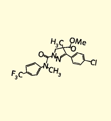 COC(=O)C1(C)CN(C(=O)N(C)c2ccc(C(F)(F)F)cc2)N=C1c1ccc(Cl)cc1